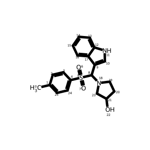 Cc1ccc(S(=O)(=O)C(c2c[nH]c3ccccc23)N2CCC(O)C2)cc1